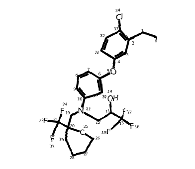 CCc1cc(Oc2cccc(N(CC(O)C(F)(F)F)CC3(C(F)(F)F)CCCCC3)c2)ccc1Cl